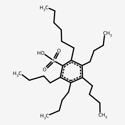 CCCCCCc1c(CCCC)c(CCCC)c(CCCC)c(CCCC)c1S(=O)(=O)O